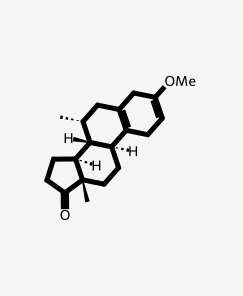 COC1=CCC2=C(C1)C[C@@H](C)[C@@H]1[C@@H]2CC[C@]2(C)C(=O)CC[C@@H]12